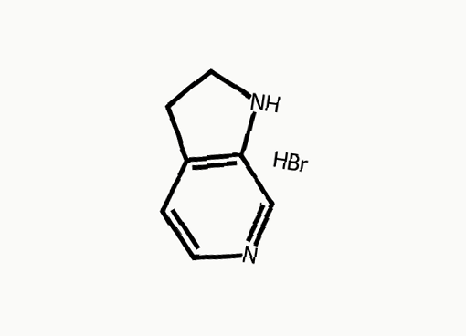 Br.c1cc2c(cn1)NCC2